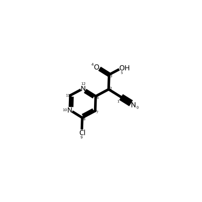 N#CC(C(=O)O)c1cc(Cl)ncn1